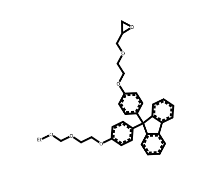 CCOCOCCOc1ccc(C2(c3ccc(OCCOCC4CO4)cc3)c3ccccc3-c3ccccc32)cc1